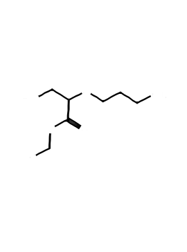 CCCCOC(CC)C(=O)OCC